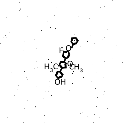 COc1cc(-c2ccc(O)cc2)c(C)cc1-c1ccc(OCc2ccccc2)c(F)c1